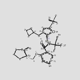 CN1CCC[C@H]1COc1ccccc1C(=O)/[N+](=c1/oc(C(C)(C)C)cn1CC1CCC1)C(F)(F)F